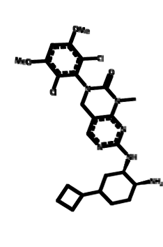 COc1cc(OC)c(Cl)c(N2Cc3cnc(N[C@@H]4CC(C5CCC5)CC[C@@H]4N)nc3N(C)C2=O)c1Cl